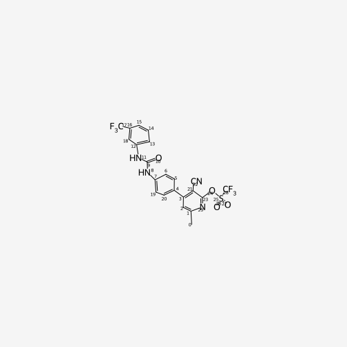 Cc1cc(-c2ccc(NC(=O)Nc3cccc(C(F)(F)F)c3)cc2)c(C#N)c(OS(=O)(=O)C(F)(F)F)n1